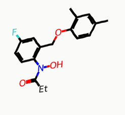 CCC(=O)N(O)c1ccc(F)cc1COc1ccc(C)cc1C